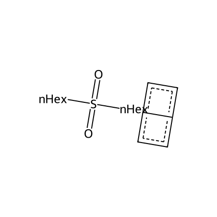 CCCCCCS(=O)(=O)CCCCCC.c1cc2ccc1-2